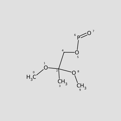 COC(C)(COP=O)OC